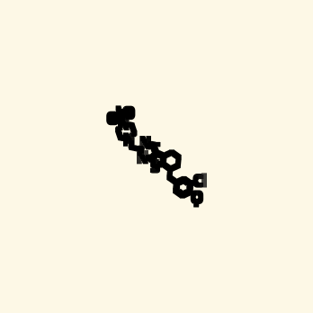 COc1ccc(CC2CCCc3c2sc2nc(CN4CCN(S(C)(=O)=O)CC4)n[c]c32)cc1Cl